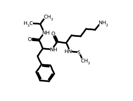 CSNC(CCCCN)C(=O)NC(Cc1ccccc1)C(=O)NC(C)C